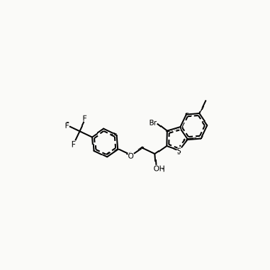 Cc1ccc2sc(C(O)COc3ccc(C(F)(F)F)cc3)c(Br)c2c1